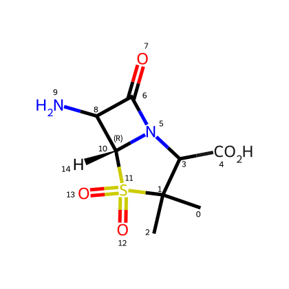 CC1(C)C(C(=O)O)N2C(=O)C(N)[C@H]2S1(=O)=O